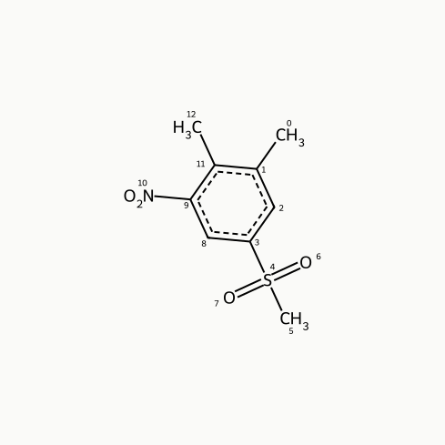 Cc1cc(S(C)(=O)=O)cc([N+](=O)[O-])c1C